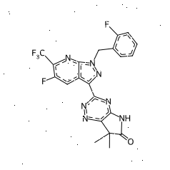 CC1(C)C(=O)Nc2nc(-c3nn(Cc4ccccc4F)c4nc(C(F)(F)F)c(F)cc34)nnc21